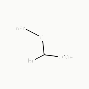 CCCOC(Br)OC